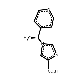 C[C@@H](c1ccncc1)n1cnc(C(=O)O)c1